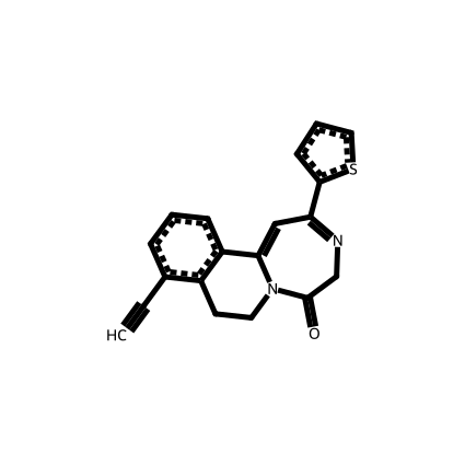 C#Cc1cccc2c1CCN1C(=O)CN=C(c3cccs3)C=C21